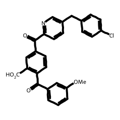 COc1cccc(C(=O)c2ccc(C(=O)c3ccc(Cc4ccc(Cl)cc4)cn3)cc2C(=O)O)c1